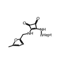 CCCCCCCNc1c(NCc2ccc(C)o2)c(=O)c1=O